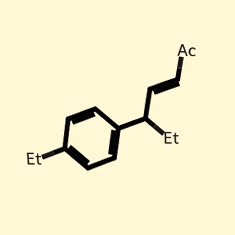 CCc1ccc(C(C=CC(C)=O)CC)cc1